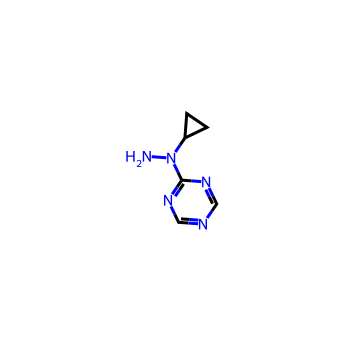 NN(c1ncncn1)C1CC1